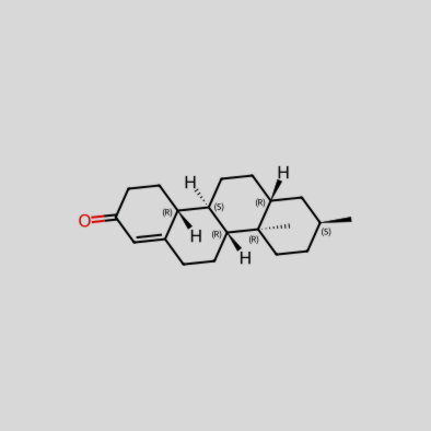 C[C@H]1CC[C@]2(C)[C@H](CC[C@H]3[C@H]2CCC2=CC(=O)CC[C@@H]23)C1